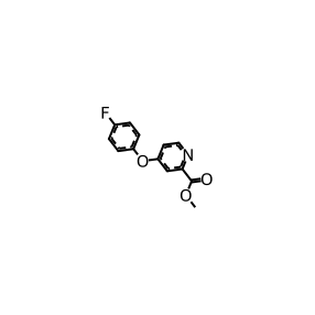 COC(=O)c1cc(Oc2ccc(F)cc2)ccn1